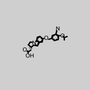 CC(C)Oc1ccc(COc2ccc3c(c2)cc2n3CC[C@H]2CC(=O)O)cc1C#N